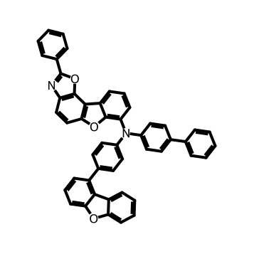 c1ccc(-c2ccc(N(c3ccc(-c4cccc5oc6ccccc6c45)cc3)c3cccc4c3oc3ccc5nc(-c6ccccc6)oc5c34)cc2)cc1